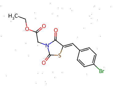 CCOC(=O)CN1C(=O)S/C(=C\c2ccc(Br)cc2)C1=O